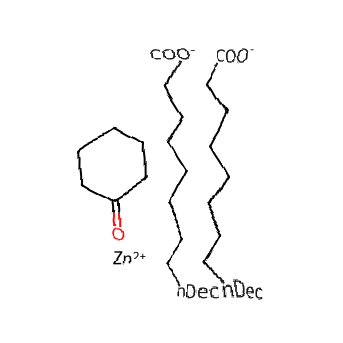 CCCCCCCCCCCCCCCCCC(=O)[O-].CCCCCCCCCCCCCCCCCC(=O)[O-].O=C1CCCCC1.[Zn+2]